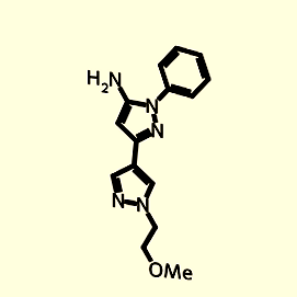 COCCn1cc(-c2cc(N)n(-c3ccccc3)n2)cn1